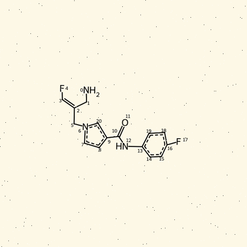 NC/C(=C\F)Cn1ccc(C(=O)Nc2ccc(F)cc2)c1